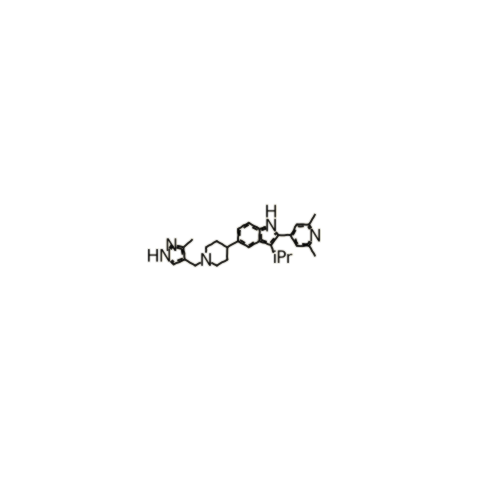 Cc1cc(-c2[nH]c3ccc(C4CCN(Cc5c[nH]nc5C)CC4)cc3c2C(C)C)cc(C)n1